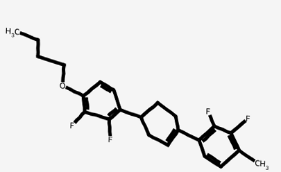 CCCCOc1ccc(C2CC=C(c3ccc(C)c(F)c3F)CC2)c(F)c1F